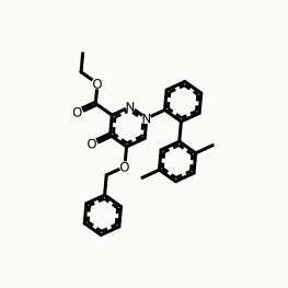 CCOC(=O)c1nn(-c2ccccc2-c2cc(C)ccc2C)cc(OCc2ccccc2)c1=O